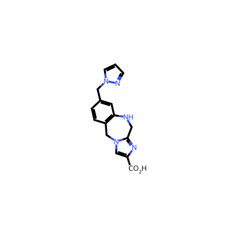 O=C(O)c1cn2c(n1)CNc1cc(Cn3cccn3)ccc1C2